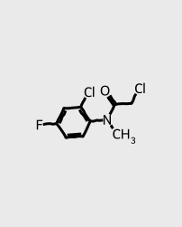 CN(C(=O)CCl)c1ccc(F)cc1Cl